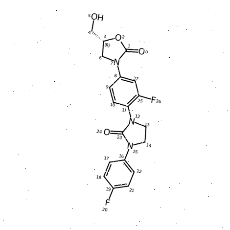 O=C1O[C@@H](CO)CN1c1ccc(N2CCN(c3ccc(F)cc3)C2=O)c(F)c1